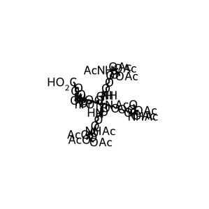 CCCn1c(=O)n(CCOC(=O)CCC(=O)O)c(=O)n(CCOC(=O)CCC(=O)NC(CCC(=O)NCCOCCOCCOC2OC(COC(C)=O)C(OC(C)=O)C(OC(C)=O)C2NC(C)=O)(CCC(=O)NCCOCCOCCOC2OC(COC(C)=O)C(OC(C)=O)C(OC(C)=O)C2NC(C)=O)CC(=O)NCCOCCOCCOC2OC(COC(C)=O)C(OC(C)=O)C(OC(C)=O)C2NC(C)=O)c1=O